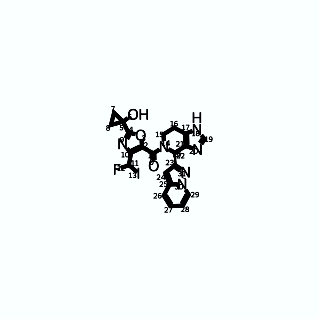 O=C(c1oc(C2(O)CC2)nc1C(F)I)N1CCc2[nH]cnc2[C@H]1c1cc2ccccn2n1